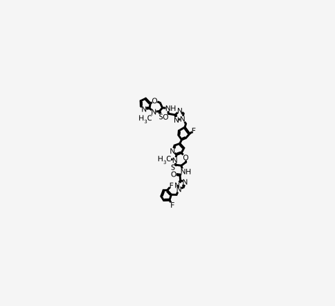 CN1C(=S)C(NC(=O)c2ncn(Cc3ccc(-c4cnc5c(c4)OCC(NC(=O)c4ncn(Cc6c(F)cccc6F)n4)C(=S)N5C)cc3F)n2)COc2cccnc21